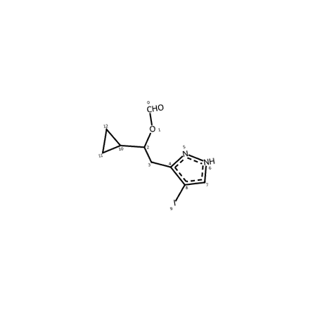 O=COC(Cc1n[nH]cc1I)C1CC1